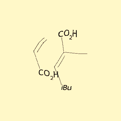 C=CC(=O)O.CCC(C)C=C(C)C(=O)O